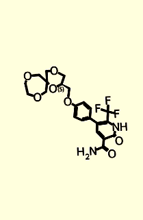 NC(=O)c1cc(-c2ccc(OC[C@@H]3COCC4(COCCOC4)O3)cc2)c(C(F)(F)F)[nH]c1=O